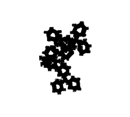 FC(F)(F)c1ccc(-n2c3ccccc3c3cc(N(C4=CC=CCC4)c4ccccc4)ccc32)c(-c2cc(C(F)(F)F)ccc2-n2c3ccccc3c3cc(N(c4ccccc4)c4ccccc4)ccc32)c1